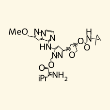 COCc1cc2c(Nc3cc([C@H]4C[C@@H](OC(=O)NC5(C)CC5)CO4)nn3COC(=O)[C@@H](N)C(C)C)nccn2n1